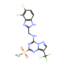 CS(=O)(=O)c1nc(NCc2nc3c(F)c(F)ccc3[nH]2)n2ncc(C(F)(F)F)c2n1